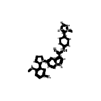 COc1ccc(F)cc1C1CCCN1c1ccn2ncc(C(=O)NC3CCC(c4nnnn4C)CC3)c2c1